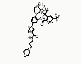 C[C@@H]1CN(c2ccc(-n3cc(C(=O)NCCCN4CCOCC4)nn3)cc2NC(=O)c2nnc(C(F)(F)F)cc2C(F)(F)F)CCN1C